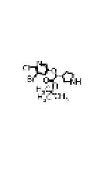 CC(C)(C)OC(=O)C(Oc1cnc(Cl)c(Br)c1)[C@@H]1CCNC1